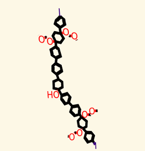 COCOC1(c2ccc(I)cc2)CCC(OCOC)(c2ccc(-c3ccc(C4CCC(O)(c5ccc(-c6ccc(C7(OCOC)CCC(OCOC)(c8ccc(I)cc8)CC7)cc6)cc5)CC4)cc3)cc2)CC1